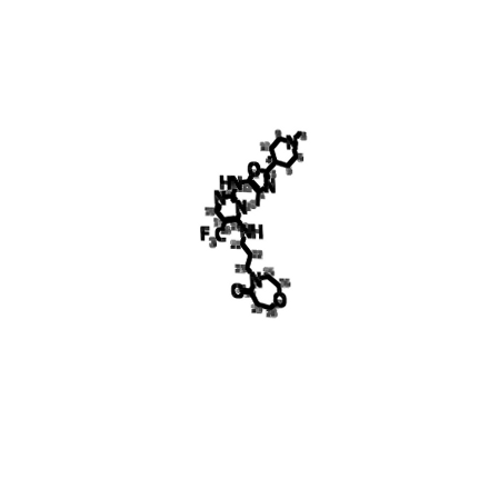 Cc1nc(C2CCN(C)CC2)oc1Nc1ncc(C(F)(F)F)c(NCCCN2CCOCCC2=O)n1